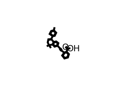 Cc1ccc(C2=CCC(C)(C)c3cc(C#Cc4ccccc4C(=O)O)ccc32)cc1